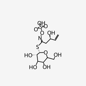 C=C[C@H](O)C/C(=N\OS(=O)(=O)O)S[C@@H]1OC(CO)[C@@H](O)C(O)[C@@H]1O